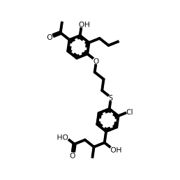 CCCc1c(OCCCSc2ccc(C(O)C(C)CC(=O)O)cc2Cl)ccc(C(C)=O)c1O